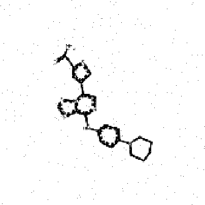 NC(=O)c1cc(-c2cnc(Nc3ccc(N4CCCCC4)cc3)c3ncnn23)cs1